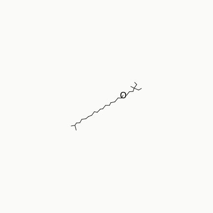 CCC(C)(CC)CCCOCCCCCCCCCCCCCCCCC(C)C